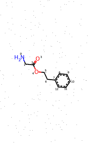 NCC(=O)O[CH]Cc1ccccc1